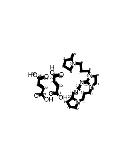 CC1CCCN1CCCN1CCN(CCCN2CCCC2C)C1=NC#N.O=C(O)C=CC(=O)O.O=C(O)C=CC(=O)O